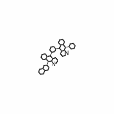 c1ccc(-c2c3ccccc3c(-c3cccc(-c4c5ccccc5c(-c5ccc6ccccc6c5)c5ncccc45)c3)c3cccnc23)cc1